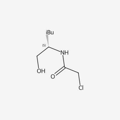 CCC(C)[C@@H](CO)NC(=O)CCl